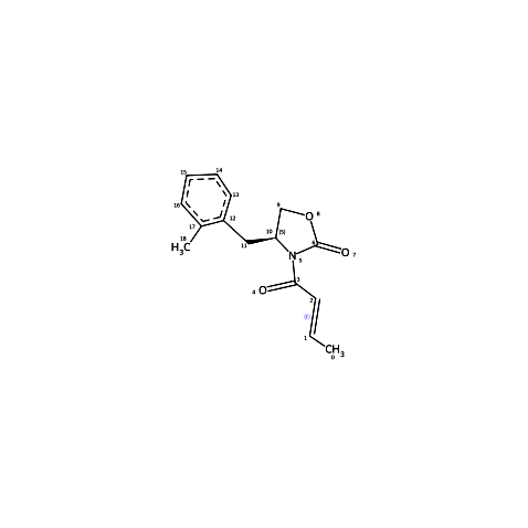 C/C=C/C(=O)N1C(=O)OC[C@@H]1Cc1ccccc1C